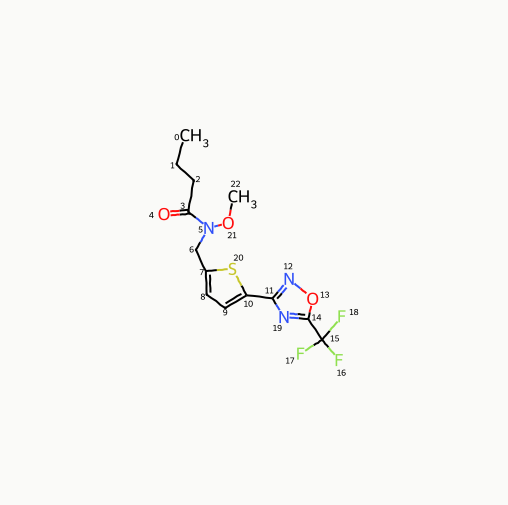 CCCC(=O)N(Cc1ccc(-c2noc(C(F)(F)F)n2)s1)OC